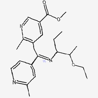 CCOC(C)C(CC)/N=C(/c1ccnc(C)c1)c1cc(C(=O)OC)cnc1C